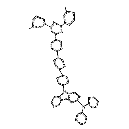 Cc1cccc(-c2cc(-c3ccc(-c4ccc(-c5ccc(-n6c7ccccc7c7cc(N(c8ccccc8)c8ccccc8)ccc76)cc5)cc4)cc3)nc(-c3cccc(C)c3)n2)c1